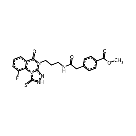 COC(=O)c1ccc(CC(=O)NCCCn2c(=O)c3cccc(F)c3n3c(=S)[nH]nc23)cc1